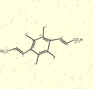 Cc1c(C)c(C=CC(=O)O)c(C)c(C)c1C=CC(=O)O